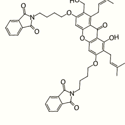 CC(C)=CCc1c(OCCCCN2C(=O)c3ccccc3C2=O)cc2oc3cc(OCCCCN4C(=O)c5ccccc5C4=O)c(CO)c(CC=C(C)C)c3c(=O)c2c1O